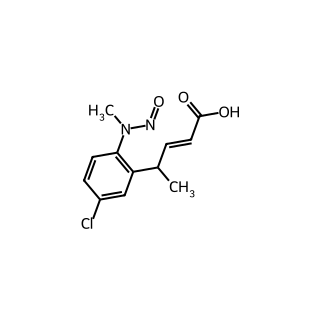 CC(C=CC(=O)O)c1cc(Cl)ccc1N(C)N=O